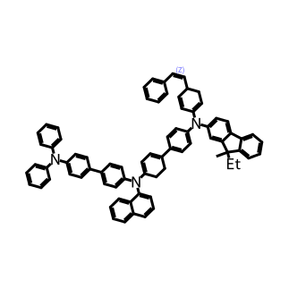 CCC1(C)c2ccccc2-c2ccc(N(C3=CCC(/C=C\c4ccccc4)C=C3)c3ccc(C4=CC=C(N(c5ccc(-c6ccc(N(c7ccccc7)c7ccccc7)cc6)cc5)c5cccc6ccccc56)CC4)cc3)cc21